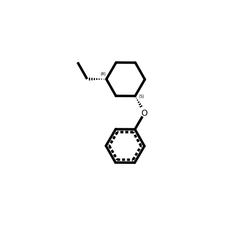 CC[C@@H]1CCC[C@H](Oc2ccccc2)C1